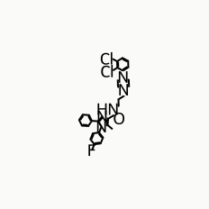 Cc1c(C(=O)NCCCN2CCN(c3cccc(Cl)c3Cl)CC2)nc(-c2ccccc2)n1-c1ccc(F)cc1